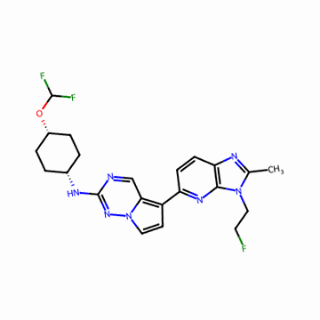 Cc1nc2ccc(-c3ccn4nc(N[C@H]5CC[C@@H](OC(F)F)CC5)ncc34)nc2n1CCF